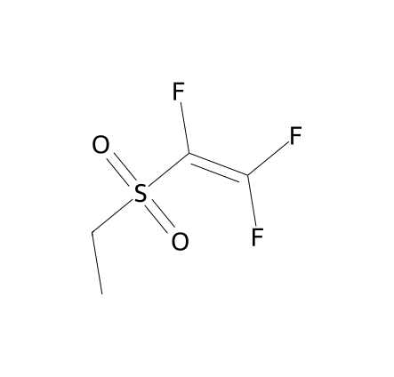 CCS(=O)(=O)C(F)=C(F)F